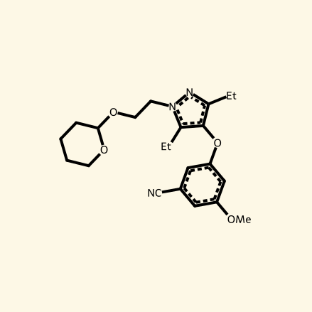 CCc1nn(CCOC2CCCCO2)c(CC)c1Oc1cc(C#N)cc(OC)c1